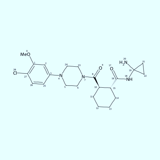 COc1cc(N2CCN(C(=O)[C@@H]3CCCC[C@H]3C(=O)NC3(N)CC3)CC2)ccc1Cl